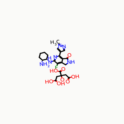 Cn1cc(-c2nc(N[C@@H]3CCCC[C@@H]3N)c(F)c3c2C(=O)NC3)cn1.O=C(O)CC(O)(CC(=O)O)C(=O)O